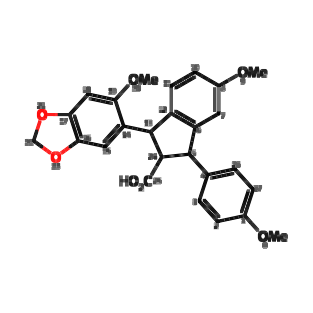 COc1ccc(C2c3cc(OC)ccc3C(c3cc4c(cc3OC)OCO4)C2C(=O)O)cc1